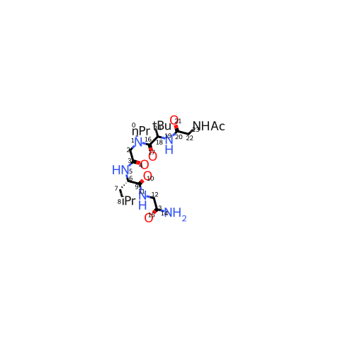 CCCN(CC(=O)N[C@@H](CC(C)C)C(=O)NCC(N)=O)C(=O)C(NC(=O)CNC(C)=O)C(C)(C)C